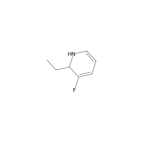 CCC1NC=CC=C1F